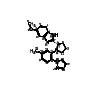 COc1ccc2[nH]c([C@@H]3CCCN3c3cc(C)c[c]c3-n3cccn3)nc2c1